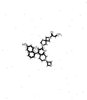 C=CC(=O)N1CC2(CCN(c3nc4c(c(-c5cccc6cc(O)ccc56)c3C)CCN(C3COC3)C4)C2)C1